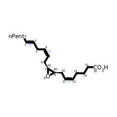 CCCCC/C=C/C/C=C\C[C@@H]1O[C@@H]1C/C=C\CCCC(=O)O